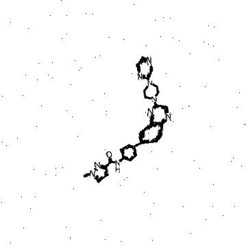 Cn1ccc(C(=O)Nc2ccc(-c3ccc4ncc(N5CCN(c6cnccn6)CC5)nc4c3)cc2)n1